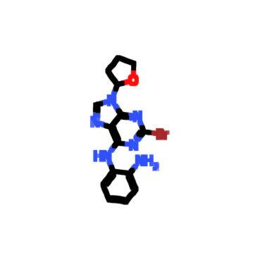 Nc1ccccc1Nc1nc(Br)nc2c1ncn2C1CCCO1